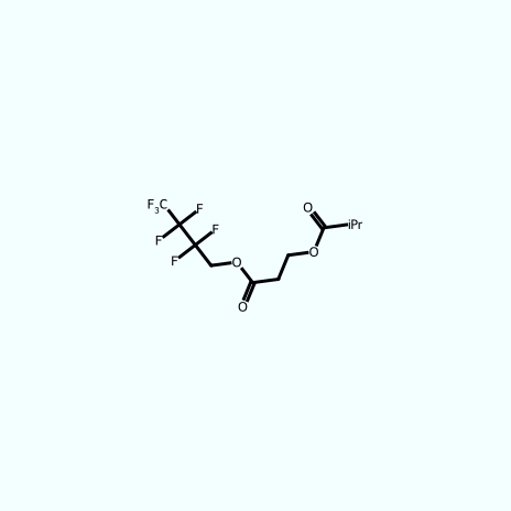 CC(C)C(=O)OCCC(=O)OCC(F)(F)C(F)(F)C(F)(F)F